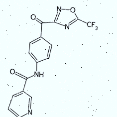 O=C(Nc1ccc(C(=O)c2noc(C(F)(F)F)n2)cc1)c1cccnc1